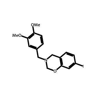 COc1ccc(CN2COc3cc(I)ccc3C2)cc1OC